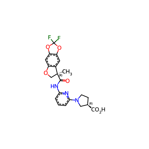 C[C@]1(C(=O)Nc2cccc(N3CC[C@@H](C(=O)O)C3)n2)COc2cc3c(cc21)OC(F)(F)O3